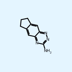 Nc1nnc2cc3c(cc2n1)CCC3